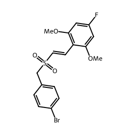 COc1cc(F)cc(OC)c1C=CS(=O)(=O)Cc1ccc(Br)cc1